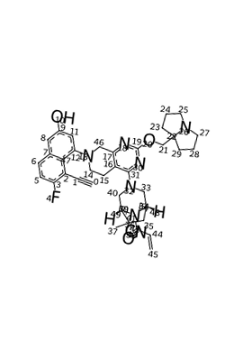 C#Cc1c(F)ccc2cc(O)cc(N3CCc4c(nc(OCC56CCCN5CCC6)nc4N4C[C@@H]5CC(C)(C#N)[C@H](C4)N5C(=O)C=C)C3)c12